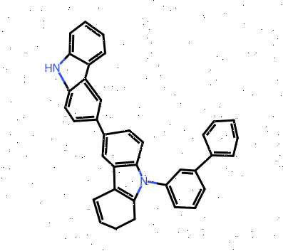 C1=Cc2c(n(-c3cccc(-c4ccccc4)c3)c3ccc(-c4ccc5[nH]c6ccccc6c5c4)cc23)CC1